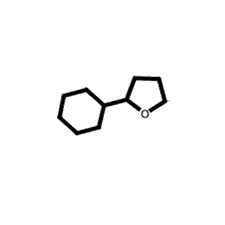 [CH]1CCC(C2[CH]CCCC2)O1